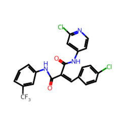 O=C(Nc1cccc(C(F)(F)F)c1)C(=Cc1ccc(Cl)cc1)C(=O)Nc1ccnc(Cl)c1